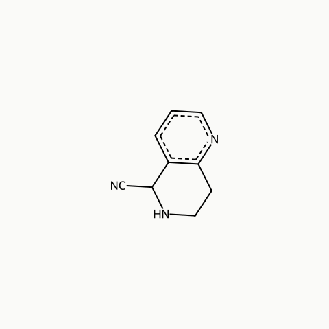 N#CC1NCCc2ncccc21